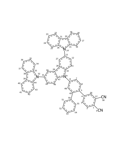 N#Cc1ccc(-c2ccc(-n3c4ccc(-n5c6ccccc6c6ccccc65)cc4c4cc(-n5c6ccccc6c6ccccc65)ccc43)cc2-c2ccccc2)cc1C#N